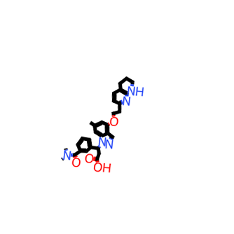 Cc1cc(OCCc2ccc3c(n2)NCCC3)c2cnn(C(CC(=O)O)c3cccc(C(=O)N(C)C)c3)c2c1